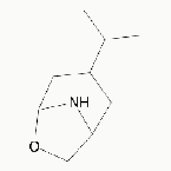 CC(C)C1CC2COC(C1)N2